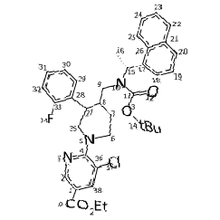 CCOC(=O)c1cnc(N2CCC(CN(C(=O)OC(C)(C)C)[C@H](C)c3cccc4ccccc34)C(c3ccccc3F)C2)c(Cl)c1